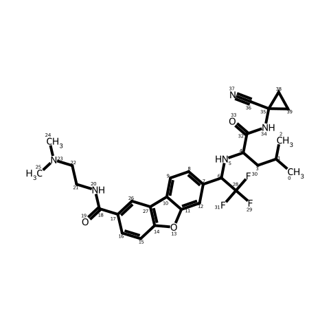 CC(C)CC(NC(c1ccc2c(c1)oc1ccc(C(=O)NCCN(C)C)cc12)C(F)(F)F)C(=O)NC1(C#N)CC1